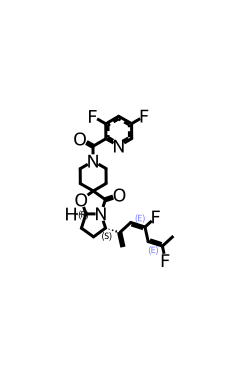 C=C(/C=C(F)\C=C(/C)F)[C@@H]1CC[C@H]2OC3(CCN(C(=O)c4ncc(F)cc4F)CC3)C(=O)N21